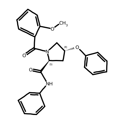 COc1ccccc1C(=O)N1C[C@H](Oc2ccccc2)C[C@H]1C(=O)Nc1ccccc1